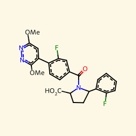 COc1cc(-c2ccc(C(=O)N3C(C(=O)O)CCC3c3ccccc3F)cc2F)c(OC)nn1